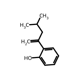 C=C(C[C](C)C)c1ccccc1O